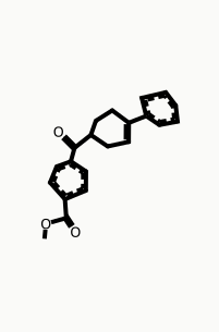 COC(=O)c1ccc(C(=O)C2CC=C(c3ccccc3)CC2)cc1